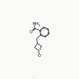 NC(=O)c1ccccc1CC1C[S+]([O-])C1